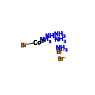 N.N.N.N.N.[Br-].[Br-].[Co+2][Br]